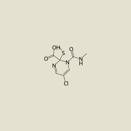 CNC(=O)N1C=C(Cl)C=NC1(SC)C(=O)O